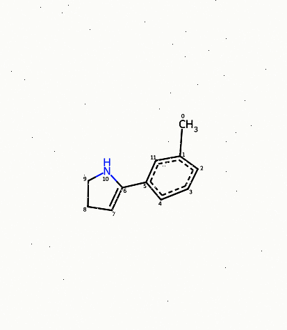 Cc1cccc(C2=CCCN2)c1